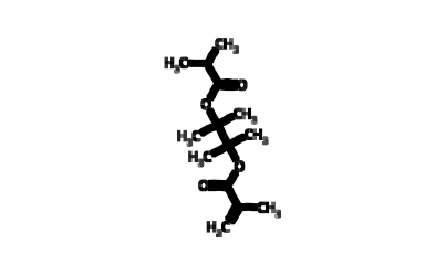 C=C(C)C(=O)OC(C)(C)C(C)(C)OC(=O)C(C)C